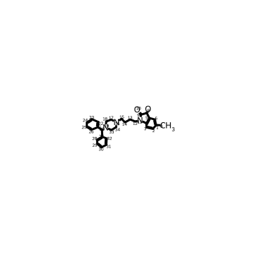 Cc1ccc2c(c1)C(=O)C(=O)N2CCCCN1CCN(C(c2ccccc2)c2ccccc2)CC1